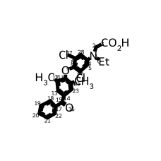 CCN(CC(=O)O)c1cc(Cl)c(Oc2c(C)cc(C(=O)c3ccccc3)cc2C)c(Cl)c1